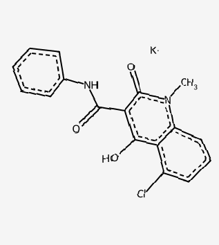 Cn1c(=O)c(C(=O)Nc2ccccc2)c(O)c2c(Cl)cccc21.[K]